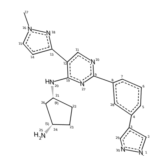 Cn1cc(-c2cccc(-c3ncc(-c4ccn(C)n4)c(N[C@@H]4CC[C@H](N)C4)n3)c2)cn1